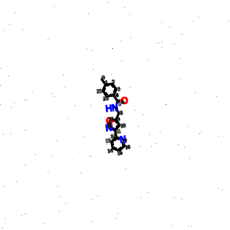 Cc1ccc(C(=O)NCc2cc(-c3ccccn3)no2)cc1